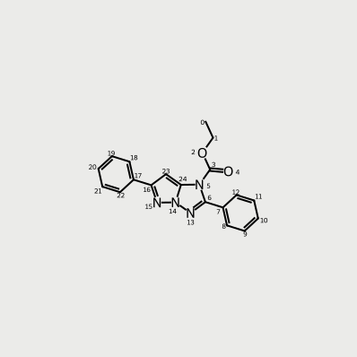 CCOC(=O)n1c(-c2ccccc2)nn2nc(-c3ccccc3)cc12